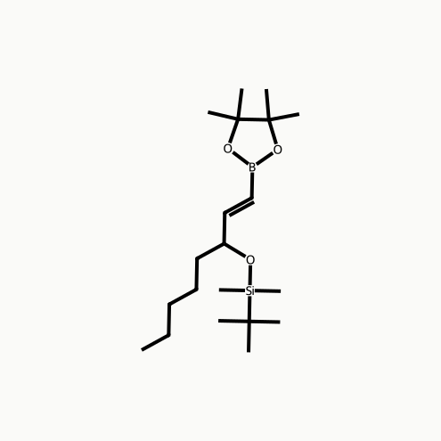 CCCCCC(/C=C/B1OC(C)(C)C(C)(C)O1)O[Si](C)(C)C(C)(C)C